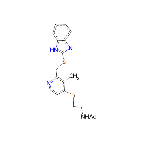 CC(=O)NCCSc1ccnc(CSc2nc3ccccc3[nH]2)c1C